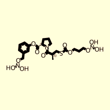 C[C@H](CSC(=O)OCCCON(O)O)C(=O)N1CCC[C@H]1C(=O)Oc1cccc(CON(O)O)c1